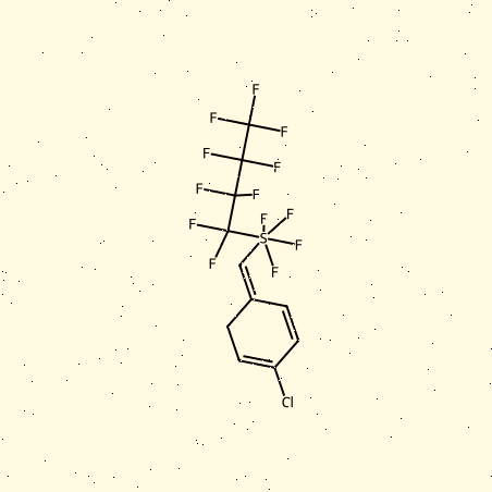 FC(F)(F)C(F)(F)C(F)(F)C(F)(F)S(F)(F)(F)(F)C=C1C=CC(Cl)=CC1